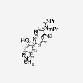 CCCN(CC(C)C)c1cnc2nc(-c3cc4cn(C)nc4cc3O)ccc2c1Cl